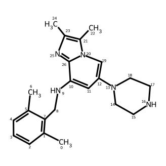 Cc1cccc(C)c1CNc1cc(N2CCNCC2)cn2c(C)c(C)nc12